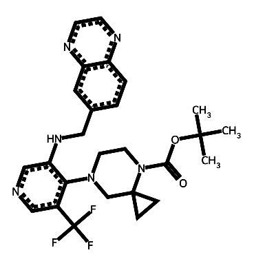 CC(C)(C)OC(=O)N1CCN(c2c(NCc3ccc4nccnc4c3)cncc2C(F)(F)F)CC12CC2